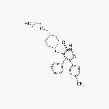 O=C(O)COC[C@H]1CC[C@H](Cc2c(-c3ccccc3)c(-c3ccc(C(F)(F)F)cc3)n[nH]c2=O)CC1